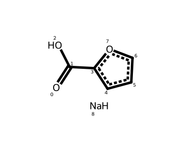 O=C(O)c1ccco1.[NaH]